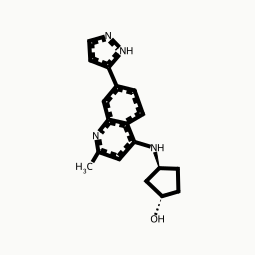 Cc1cc(N[C@H]2CC[C@H](O)C2)c2ccc(-c3ccn[nH]3)cc2n1